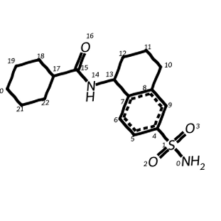 NS(=O)(=O)c1ccc2c(c1)CCCC2NC(=O)C1CCCCC1